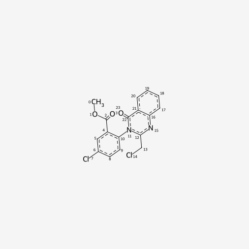 COC(=O)c1cc(Cl)ccc1-n1c(CCl)nc2ccccc2c1=O